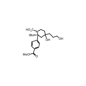 COC(=O)c1ccc([C@@]2(C(C)(C)C)CC(O)(CCCO)CCN2C(=O)O)cc1